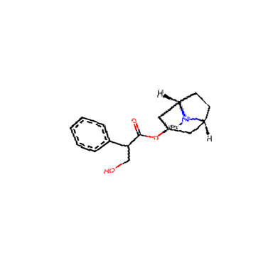 CC(C)N1[C@@H]2CC[C@H]1CC(OC(=O)C(CO)c1ccccc1)C2